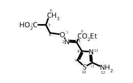 CCOC(=O)C(=NOCC(C)C(=O)O)c1csc(N)n1